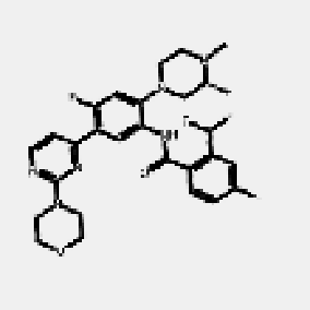 C[C@H]1CN(c2cc(F)c(-c3ccnc(N4CCOCC4)n3)cc2NC(=O)c2ccc(F)cc2C(F)F)CCN1C